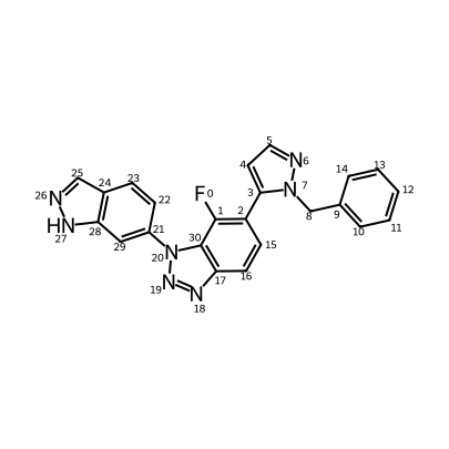 Fc1c(-c2ccnn2Cc2ccccc2)ccc2nnn(-c3ccc4cn[nH]c4c3)c12